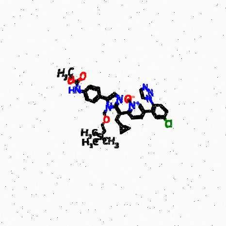 COC(=O)Nc1ccc(-c2cnc(C(CC3CC3)c3ccc(-c4cc(Cl)ccc4-n4ccnn4)c[n+]3[O-])n2COCC[Si](C)(C)C)cc1